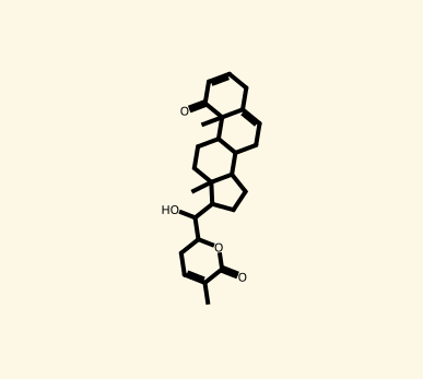 CC1=CCC(C(O)C2CCC3C4CC=C5CC=CC(=O)C5(C)C4CCC23C)OC1=O